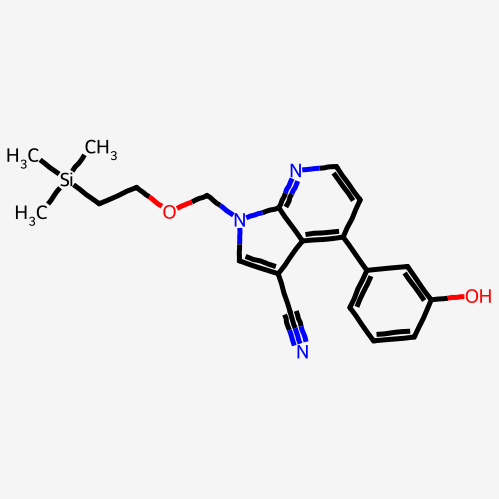 C[Si](C)(C)CCOCn1cc(C#N)c2c(-c3cccc(O)c3)ccnc21